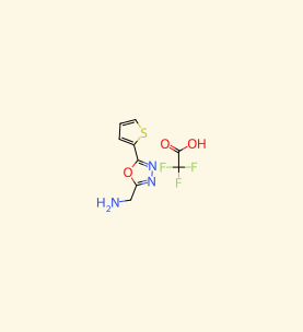 NCc1nnc(-c2cccs2)o1.O=C(O)C(F)(F)F